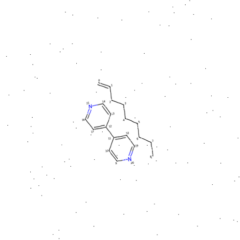 C=CCCCCCCC.c1cc(-c2ccncc2)ccn1